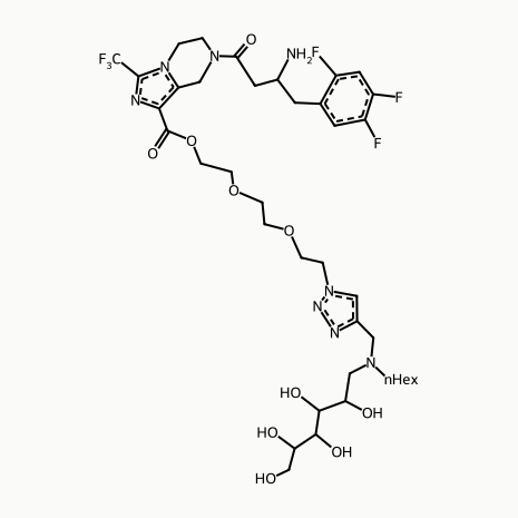 CCCCCCN(Cc1cn(CCOCCOCCOC(=O)c2nc(C(F)(F)F)n3c2CN(C(=O)CC(N)Cc2cc(F)c(F)cc2F)CC3)nn1)CC(O)C(O)C(O)C(O)CO